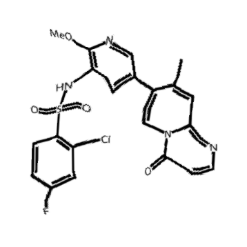 COc1ncc(-c2cn3c(=O)ccnc3cc2C)cc1NS(=O)(=O)c1ccc(F)cc1Cl